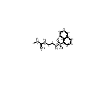 CNC(=N)NCCNS(=O)(=O)c1cccc2cnccc12